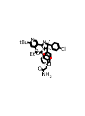 CCOc1cc(C(C)(C)C)ncc1C1=N[C@@](C)(C2C=CC(Cl)=CC2)[C@@](C)(C2=CCC(Cl)C=C2)N1C(=O)N1CCCN(CC(N)=O)CC1